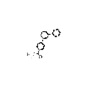 CC(=O)c1ccc(C2=CC(c3ccccc3)=CCC2)cc1